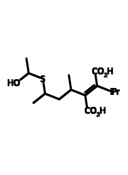 CC(O)SC(C)CC(C)/C(C(=O)O)=C(\C(=O)O)C(C)C